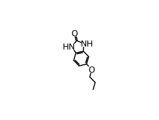 CCCOc1ccc2[nH]c(=O)[nH]c2c1